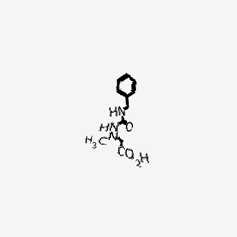 CN(CC(=O)O)NC(=O)NCc1ccccc1